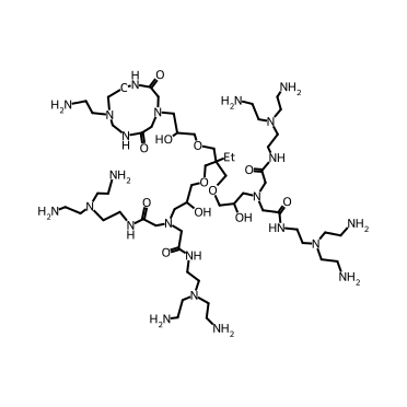 CCC(COCC(O)CN(CC(=O)NCCN(CCN)CCN)CC(=O)NCCN(CCN)CCN)(COCC(O)CN(CC(=O)NCCN(CCN)CCN)CC(=O)NCCN(CCN)CCN)COCC(O)CN1CC(=O)NCCN(CCN)CNC(=O)C1